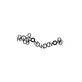 O=C1CCC(N2C(=O)c3ccc(N4CCC(CN5CCC6(CC5)CCN(c5ccc([N+](=O)[O-])cc5)CC6)CC4)cc3C2=O)C(=O)N1